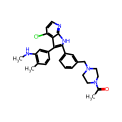 CNc1cc(-c2c(-c3cccc(CN4CCN(C(C)=O)CC4)c3)[nH]c3nccc(Cl)c23)ccc1C